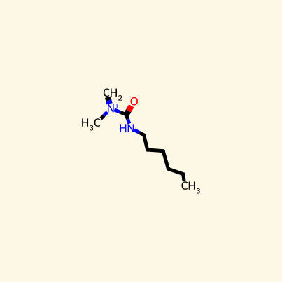 C=[N+](C)C(=O)NCCCCCC